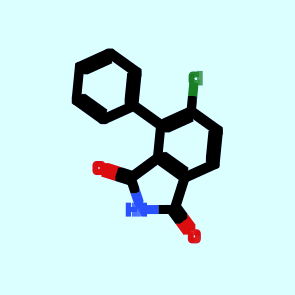 O=C1NC(=O)c2c1ccc(Cl)c2-c1ccccc1